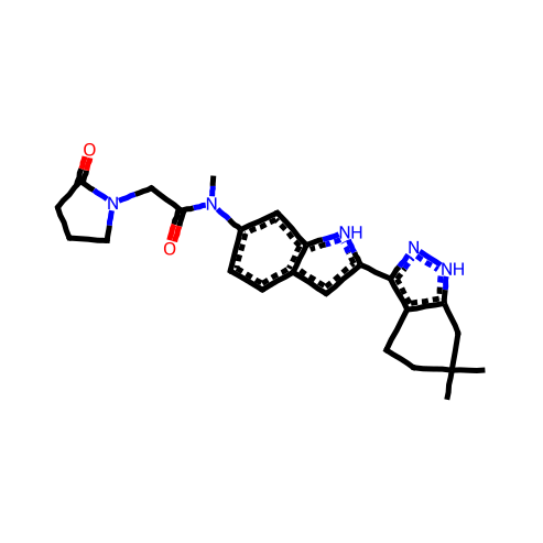 CN(C(=O)CN1CCCC1=O)c1ccc2cc(-c3n[nH]c4c3CCC(C)(C)C4)[nH]c2c1